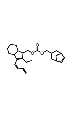 C=C/C=C\C1=C(CC)C(COC(=O)OCC2CC3C=CC(C3)C2)C2CCCCC12